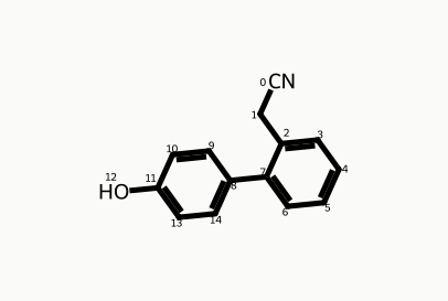 N#CCc1ccccc1-c1ccc(O)cc1